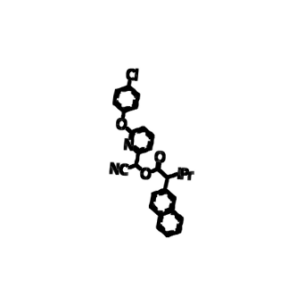 CC(C)C(C(=O)OC(C#N)c1cccc(Oc2ccc(Cl)cc2)n1)c1ccc2ccccc2c1